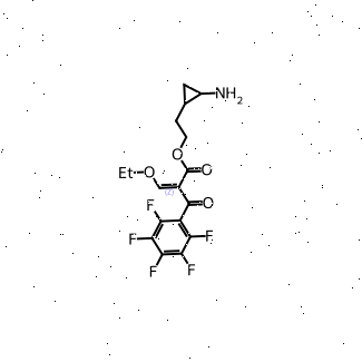 CCO/C=C(\C(=O)OCCC1CC1N)C(=O)c1c(F)c(F)c(F)c(F)c1F